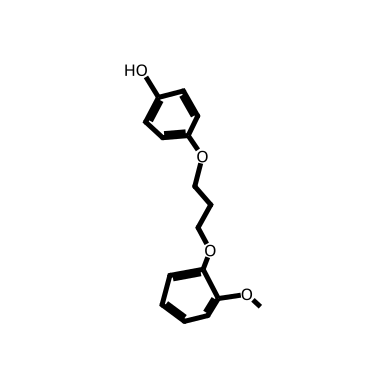 COc1ccccc1OCCCOc1ccc(O)cc1